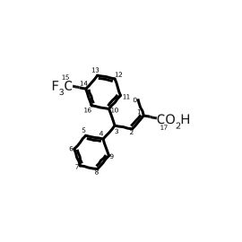 CC(=CC(c1ccccc1)c1cccc(C(F)(F)F)c1)C(=O)O